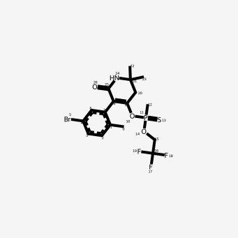 Cc1ccc(Br)cc1C1=C(OP(C)(=S)OCC(F)(F)F)CC(C)(C)NC1=O